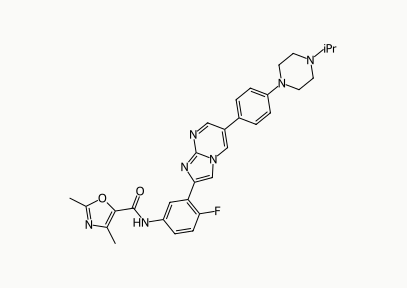 Cc1nc(C)c(C(=O)Nc2ccc(F)c(-c3cn4cc(-c5ccc(N6CCN(C(C)C)CC6)cc5)cnc4n3)c2)o1